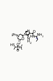 C/C=C(/N)NC(=O)c1ncn([C@H]2CN(C(C)C)C[C@@H](COP(=O)(C(C)S)N(C)C)O2)c1N